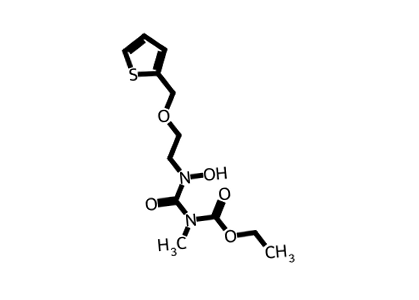 CCOC(=O)N(C)C(=O)N(O)CCOCc1cccs1